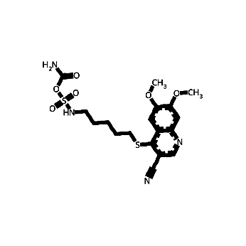 COc1cc2ncc(C#N)c(SCCCCCNS(=O)(=O)OC(N)=O)c2cc1OC